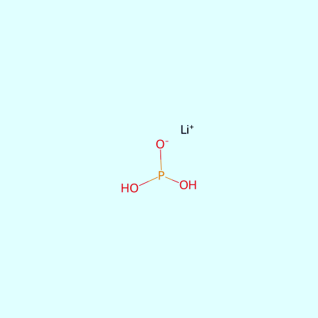 [Li+].[O-]P(O)O